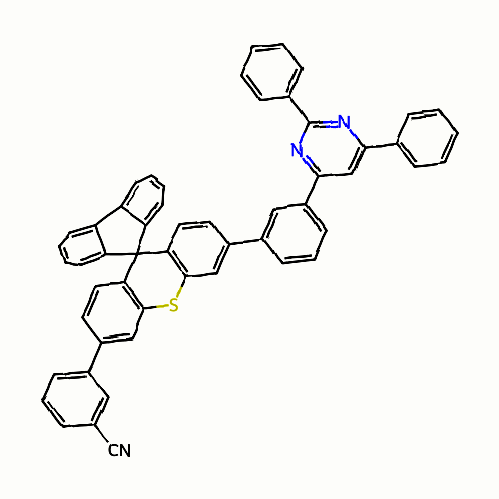 N#Cc1cccc(-c2ccc3c(c2)Sc2cc(-c4cccc(-c5cc(-c6ccccc6)nc(-c6ccccc6)n5)c4)ccc2C32c3ccccc3-c3ccccc32)c1